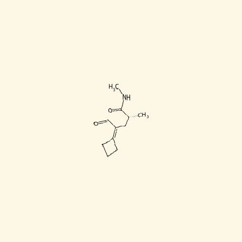 CNC(=O)[C@H](C)CC(C=O)=C1CCC1